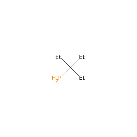 [CH2]CC(P)(CC)CC